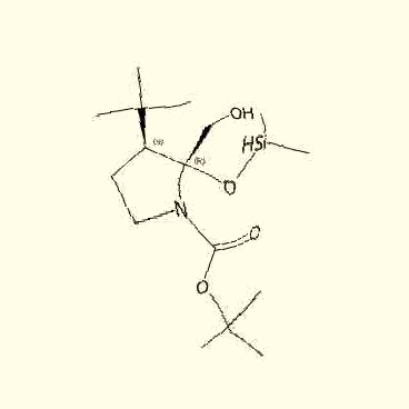 C[SiH](C)O[C@@]1(CO)[C@H](C(C)(C)C)CCN1C(=O)OC(C)(C)C